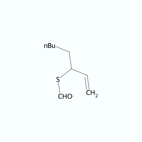 C=CC(CCCCC)S[C]=O